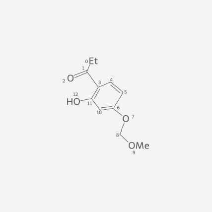 CCC(=O)c1ccc(OCOC)cc1O